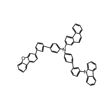 c1cc(-c2ccc(N(c3ccc(-c4cccc(-n5c6ccccc6c6ccccc65)c4)cc3)c3ccc4c(ccc5ccccc54)c3)cc2)cc(-c2ccc3c(c2)oc2ccccc23)c1